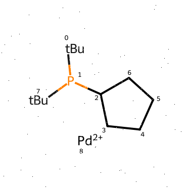 CC(C)(C)P(C1CCCC1)C(C)(C)C.[Pd+2]